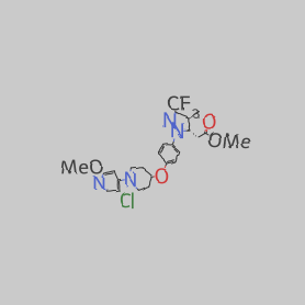 COC(=O)C[C@H]1[C@H](C)C(C(F)(F)F)=NN1c1ccc(OC2CCN(c3cc(OC)ncc3Cl)CC2)cc1